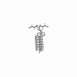 CCCCN(CCCC)CCC(=O)OC(F)(F)C(F)(F)C(F)(F)C(F)(F)C(F)(F)C(F)(F)F